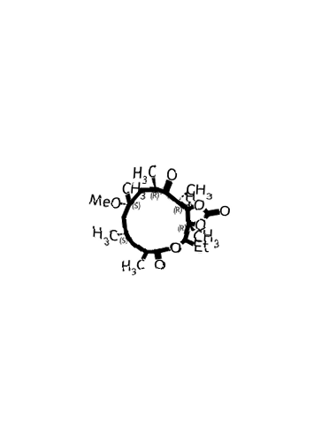 CCC1OC(=O)C(C)C[C@H](C)C[C@](C)(OC)C[C@@H](C)C(=O)[C@H](C)[C@H]2OC(=O)O[C@]12C